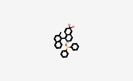 Cc1ccc2ccccc2c1C1=C2C=CC(Br)(Br)C=C2C=C[C@@H]1CP(c1ccccc1)c1ccccc1